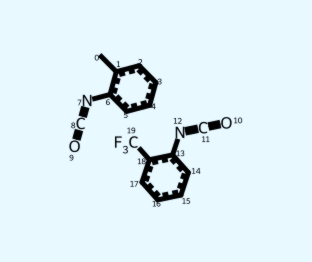 Cc1ccccc1N=C=O.O=C=Nc1ccccc1C(F)(F)F